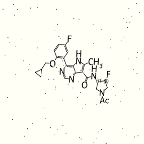 CC(=O)N1C[C@@H](F)[C@@H](NC(=O)c2c(C)[nH]c3c(-c4cc(F)ccc4OCC4CC4)ncnc23)C1